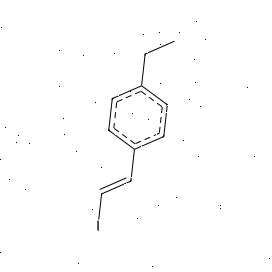 CCc1ccc(/C=C/I)cc1